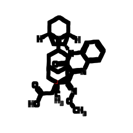 CO/N=C(\CCC(=O)O)c1nc2ccccc2n([C@@H]2C[C@@H]3CCC[C@H]2N3C2CC3CC(C)CC(C3)C2)c1=O